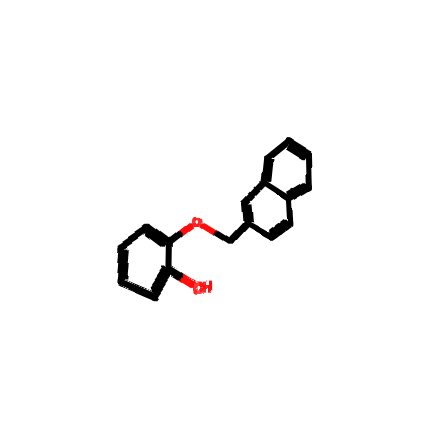 Oc1ccccc1OCc1ccc2ccccc2c1